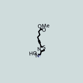 COC(=O)CCCC#Cc1nc(/C=N\O)cs1